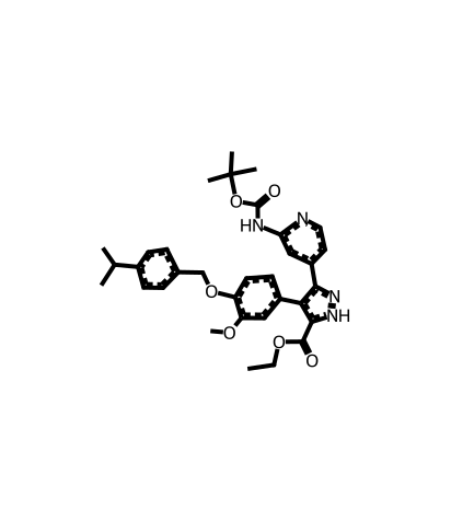 CCOC(=O)c1[nH]nc(-c2ccnc(NC(=O)OC(C)(C)C)c2)c1-c1ccc(OCc2ccc(C(C)C)cc2)c(OC)c1